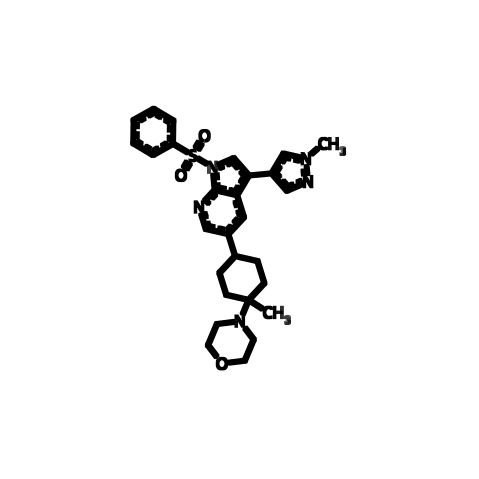 Cn1cc(-c2cn(S(=O)(=O)c3ccccc3)c3ncc(C4CCC(C)(N5CCOCC5)CC4)cc23)cn1